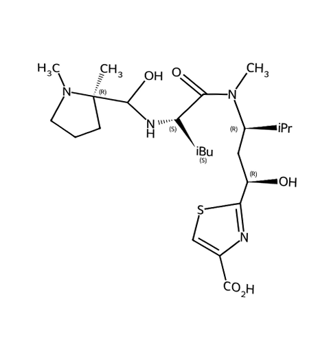 CC[C@H](C)[C@H](NC(O)[C@@]1(C)CCCN1C)C(=O)N(C)[C@H](C[C@@H](O)c1nc(C(=O)O)cs1)C(C)C